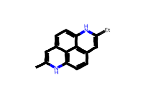 CCC1=Cc2ccc3c4c(ccc(c24)N1)C=C(C)N3